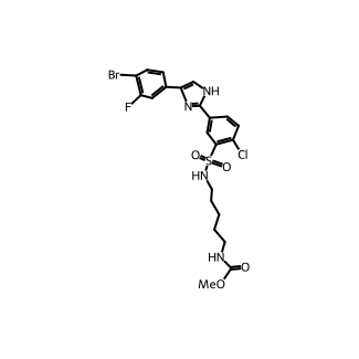 COC(=O)NCCCCCNS(=O)(=O)c1cc(-c2nc(-c3ccc(Br)c(F)c3)c[nH]2)ccc1Cl